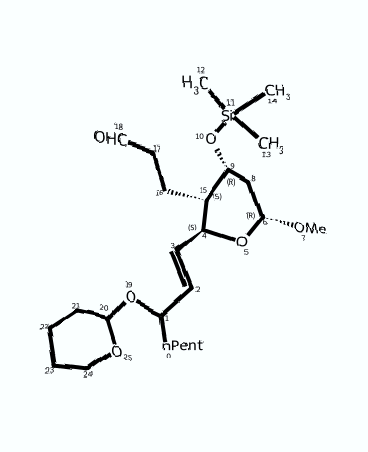 CCCCCC(C=C[C@@H]1O[C@@H](OC)C[C@@H](O[Si](C)(C)C)[C@H]1CCC=O)OC1CCCCO1